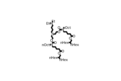 CCCCCCCCN(CCCCC(=O)OCC(CCCCCC)CCCCCC)C(=O)OCCN(CCCCN(CC)CC)CCOC(=O)N(CCCCCCCC)CCCCC(=O)OCC(CCCCCC)CCCCCC